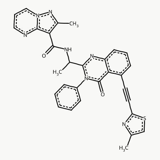 Cc1csc(C#Cc2cccc3nc(C(C)NC(=O)c4c(C)nn5cccnc45)n(-c4ccccc4)c(=O)c23)n1